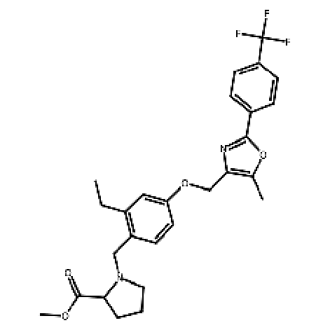 CCc1cc(OCc2nc(-c3ccc(C(F)(F)F)cc3)oc2C)ccc1CN1CCCC1C(=O)OC